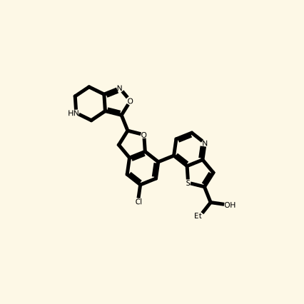 CCC(O)c1cc2nccc(-c3cc(Cl)cc4c3OC(c3onc5c3CNCC5)C4)c2s1